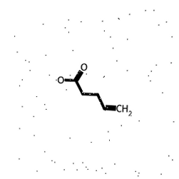 C=CCCC([O])=O